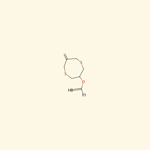 B=C(CC)OC1CSCC(=C)CSC1